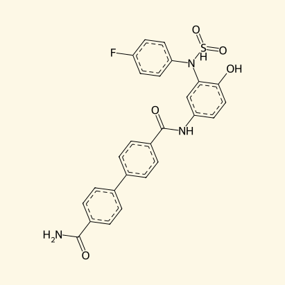 NC(=O)c1ccc(-c2ccc(C(=O)Nc3ccc(O)c(N(c4ccc(F)cc4)[SH](=O)=O)c3)cc2)cc1